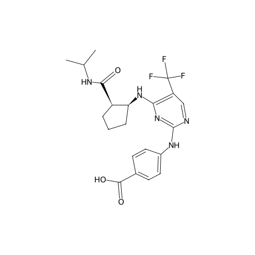 CC(C)NC(=O)[C@@H]1CCC[C@@H]1Nc1nc(Nc2ccc(C(=O)O)cc2)ncc1C(F)(F)F